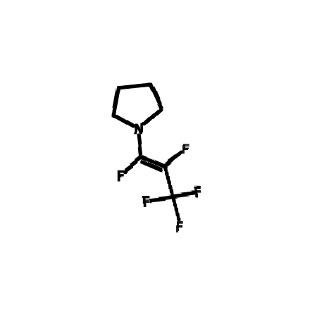 F/C(=C(/F)C(F)(F)F)N1CCCC1